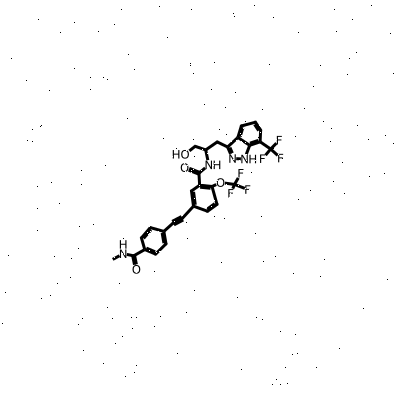 CNC(=O)c1ccc(C#Cc2ccc(OC(F)(F)F)c(C(=O)NC(CO)Cc3n[nH]c4c(C(F)(F)F)cccc34)c2)cc1